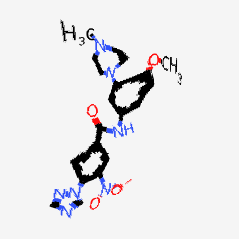 COc1ccc(NC(=O)c2ccc(-n3cncn3)c([N+](=O)[O-])c2)cc1N1CCN(C)CC1